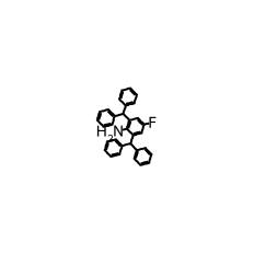 Nc1c(C(c2ccccc2)c2ccccc2)cc(F)cc1C(c1ccccc1)c1ccccc1